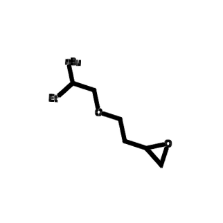 CCCCC(CC)COCCC1CO1